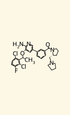 CC(Oc1cc(-c2cccc(C(=O)N3CCC[C@@H]3CN3CCCC3)c2)cnc1N)c1c(Cl)ccc(F)c1Cl